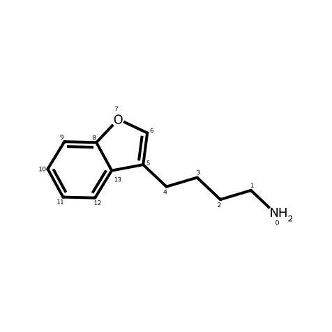 NCCCCc1coc2ccccc12